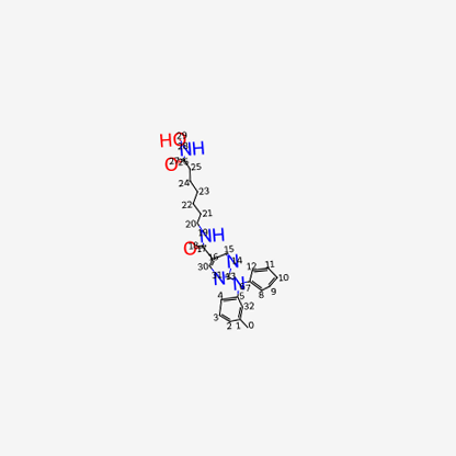 Cc1cccc(N(c2ccccc2)c2ncc(C(=O)NCCCCCCC(=O)NO)cn2)c1